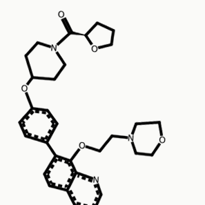 O=C([C@H]1CCCO1)N1CCC(Oc2ccc(-c3ccc4cccnc4c3OCCN3CCOCC3)cc2)CC1